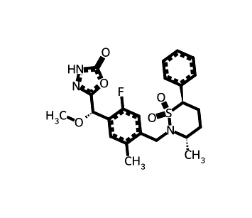 CO[C@H](c1n[nH]c(=O)o1)c1cc(C)c(CN2[C@@H](C)CC[C@H](c3ccccc3)S2(=O)=O)cc1F